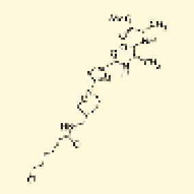 C=C(NC(=O)c1csc(N2CCC(CNC(=O)CCCCCCl)CC2)n1)C(=O)NC(=C)C(=O)OC